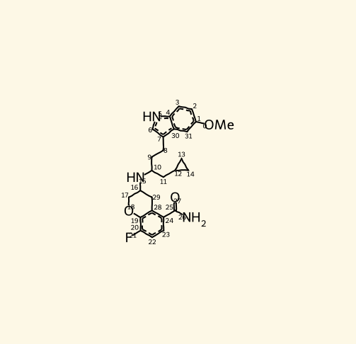 COc1ccc2[nH]cc(CCC(CC3CC3)NC3COc4c(F)ccc(C(N)=O)c4C3)c2c1